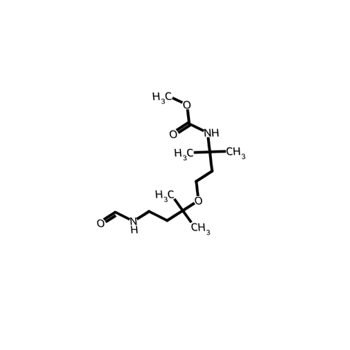 COC(=O)NC(C)(C)CCOC(C)(C)CCNC=O